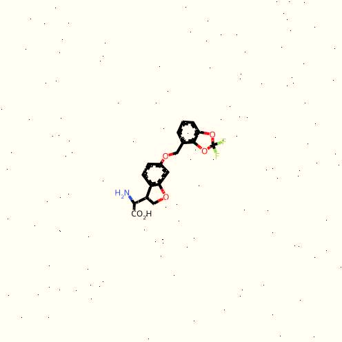 NC(C(=O)O)C1COc2cc(OCc3cccc4c3OC(F)(F)O4)ccc21